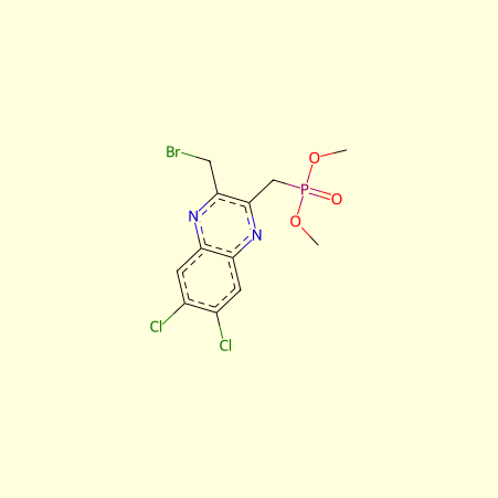 COP(=O)(Cc1nc2cc(Cl)c(Cl)cc2nc1CBr)OC